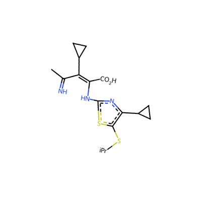 CC(=N)/C(=C(\Nc1nc(C2CC2)c(SC(C)C)s1)C(=O)O)C1CC1